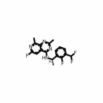 Cc1nc(N[C@H](C)c2cccc(C(F)F)c2F)c2cc(F)nc(C)c2n1